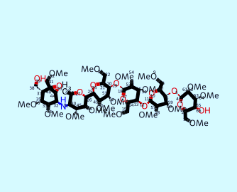 COCC1O[C@H](O[C@H]2C(COC)O[C@H](O[C@H]3C(COC)O[C@H](O[C@H]4C(COC)O[C@H]([C@@H]5OC(C)[C@H](N[C@H]6C(OC)[C@H](OC)[C@H](CO)C7(COC)OC67)[C@@H](OC)C5OC)C(OC)[C@@H]4OC)C(OC)[C@@H]3OC)C(OC)[C@@H]2OC)C(OC)[C@H](OC)[C@H]1O